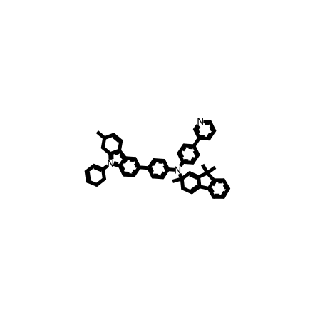 CC1C=Cc2c(n(C3=CC=CCC3)c3ccc(-c4ccc(N(c5ccc(-c6cccnc6)cc5)C5(C)C=C6C(=CC5)c5ccccc5C6(C)C)cc4)cc23)C1